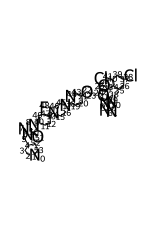 CN1CCC(Cn2ncn(-c3ccc(N4CCN(c5ccc(OC[C@@H]6CO[C@@](Cn7cnnn7)(c7ccc(Cl)cc7Cl)O6)cn5)CC4)c(F)c3)c2=O)CC1